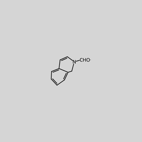 O=[C]N1C=Cc2ccccc2C1